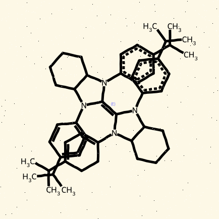 CC(C)C1=C=C=C(N2/C(=C3\N(C4=CC=C(C(C)C)CC4)C4CCCCC4N3c3ccc(C(C)C)cc3)N(c3ccc(C(C)C)cc3)C3CCCCC32)C=C1